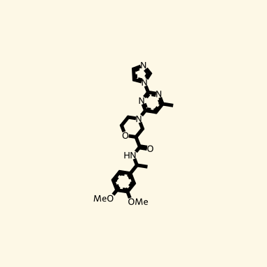 COc1ccc(C(C)NC(=O)C2CN(c3cc(C)nc(-n4ccnc4)n3)CCO2)cc1OC